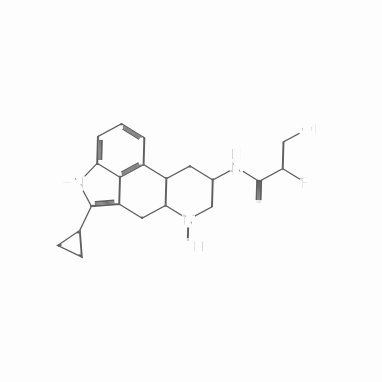 CCC(CO)C(=O)NC1CC2c3cccc4[nH]c(C5CC5)c(c34)CC2N(C)C1